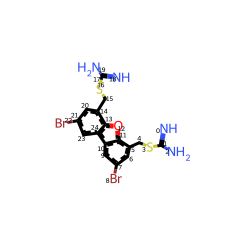 N=C(N)SCc1cc(Br)cc2c1oc1c(CSC(=N)N)cc(Br)cc12